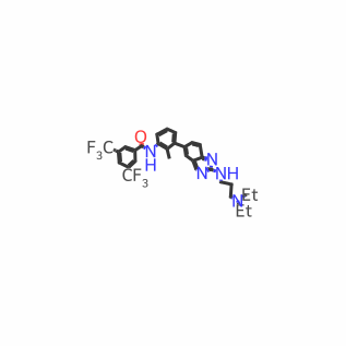 CCN(CC)CCCNc1ncc2cc(-c3cccc(NC(=O)c4cc(C(F)(F)F)cc(C(F)(F)F)c4)c3C)ccc2n1